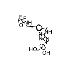 CC(Nc1ncnc2c1ncn2[C@H]1C[C@@H](O)[C@@H](CO)O1)c1ccc(C#CCNC(=O)C(F)(F)F)cc1